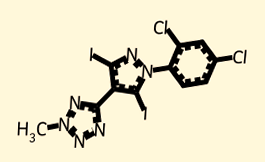 Cn1nnc(-c2c(I)nn(-c3ccc(Cl)cc3Cl)c2I)n1